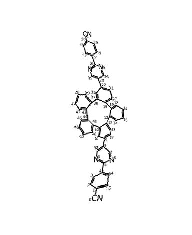 N#Cc1ccc(-c2ncc(-c3ccc4c5ccccc5c5ccc(-c6cnc(-c7ccc(C#N)cc7)nc6)cc5c5ccccc5c5ccccc5c4c3)cn2)cc1